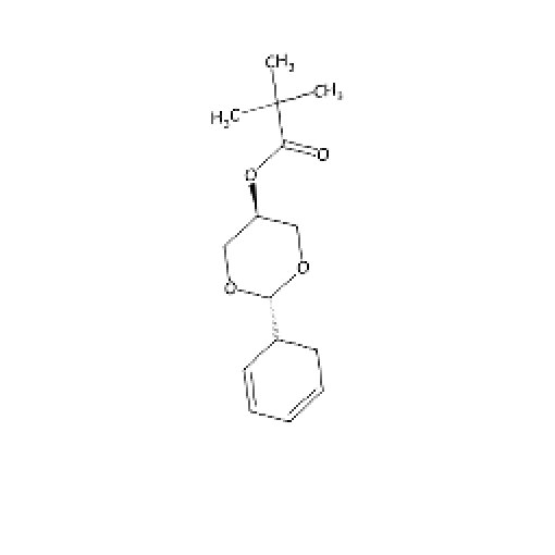 CC(C)(C)C(=O)O[C@H]1CO[C@H](C2C=CC=CC2)OC1